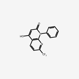 O=c1cc(O)c2ccc(C(F)(F)F)nc2n1-c1ccccc1